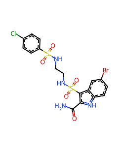 NC(=O)c1[nH]c2ccc(Br)cc2c1S(=O)(=O)NCCNS(=O)(=O)c1ccc(Cl)cc1